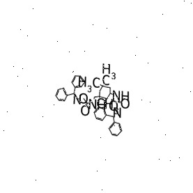 CC1(C)CC(NC(=O)ON=C(c2ccccc2)c2ccccc2)CC(C)(CNC(=O)ON=C(c2ccccc2)c2ccccc2)C1